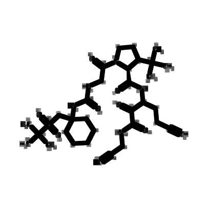 C#CCCC(NC(=O)[C@@H]1C(C(C)(C)C)CCN1C(=O)CNC(=O)NC1(CS(=O)(=O)C(C)(C)C)CCCCC1)C(=O)C(=O)NCC#C